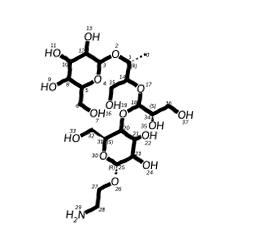 C[C@@H](OC1OC(CO)C(O)C(O)C1O)C(CO)OC(OC1C(O)C(O)[C@H](OCCN)O[C@H]1CO)[C@@H](O)CO